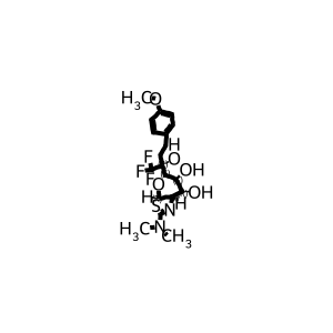 COc1ccc(CC[C@@](O)([C@H]2O[C@@H]3SC(N(C)C)=N[C@@H]3[C@@H](O)[C@@H]2O)C(F)(F)F)cc1